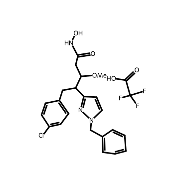 COC(CC(=O)NO)C(Cc1ccc(Cl)cc1)c1ccn(Cc2ccccc2)n1.O=C(O)C(F)(F)F